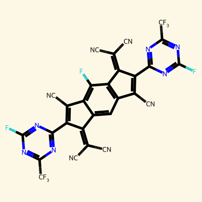 N#CC(C#N)=C1C(c2nc(F)nc(C(F)(F)F)n2)=C(C#N)c2c1cc1c(c2F)C(=C(C#N)C#N)C(c2nc(F)nc(C(F)(F)F)n2)=C1C#N